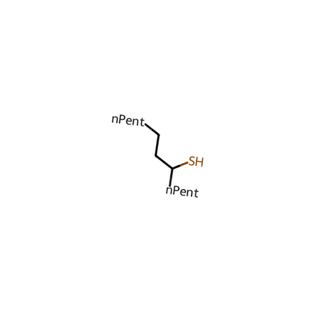 CCCCCCCC(S)CCCCC